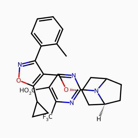 Cc1ccccc1-c1noc(C2CC2)c1CO[C@@H]1CC2CC[C@@H](C1)N2c1ncc(C(=O)O)c(C(F)(F)F)n1